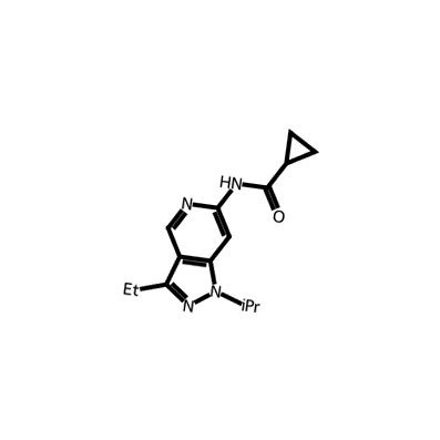 CCc1nn(C(C)C)c2cc(NC(=O)C3CC3)ncc12